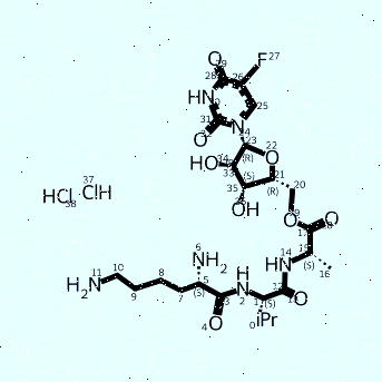 CC(C)[C@H](NC(=O)[C@@H](N)CCCCN)C(=O)N[C@@H](C)C(=O)OC[C@H]1O[C@@H](n2cc(F)c(=O)[nH]c2=O)[C@H](O)[C@@H]1O.Cl.Cl